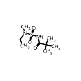 CCN(C)S(=O)(=O)NC(=O)C(C)(C)C